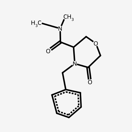 CN(C)C(=O)C1COCC(=O)N1Cc1ccccc1